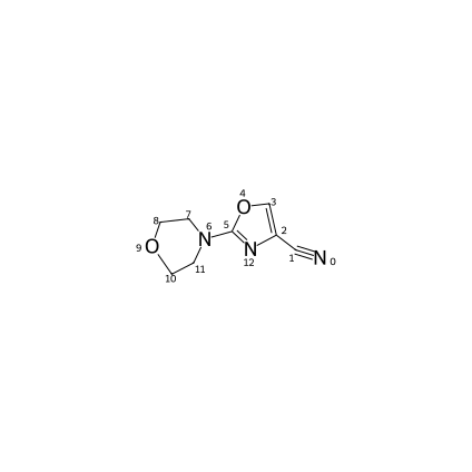 N#Cc1coc(N2CCOCC2)n1